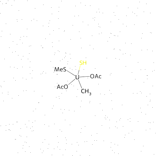 C[S][U]([CH3])([SH])([O]C(C)=O)[O]C(C)=O